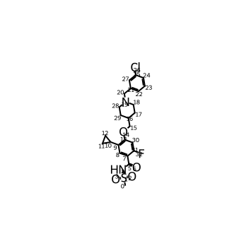 CS(=O)(=O)NC(=O)c1cc(C2CC2)c(OCC2CCN(Cc3cccc(Cl)c3)CC2)cc1F